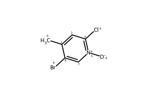 Cc1cc(Cl)[n+]([O-])cc1Br